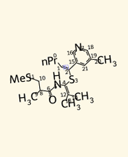 CCC/C=C(/SC(NC(=O)C(C)CSC)=C(C)C)c1cncc(C)c1